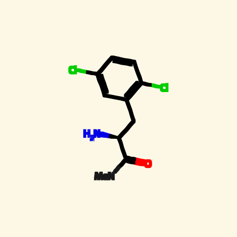 CNC(=O)[C@@H](N)Cc1cc(Cl)ccc1Cl